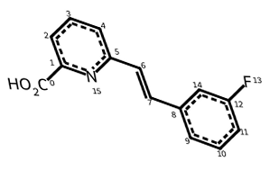 O=C(O)c1cccc(C=Cc2cccc(F)c2)n1